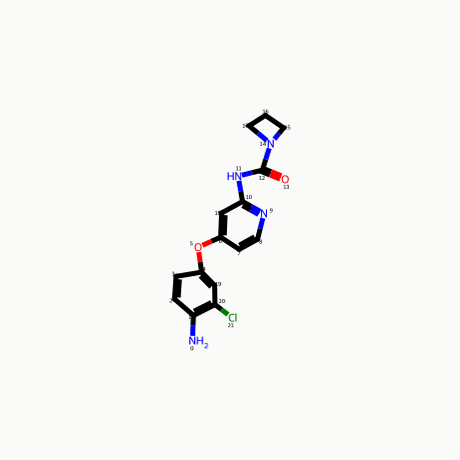 Nc1ccc(Oc2ccnc(NC(=O)N3CCC3)c2)cc1Cl